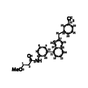 COCCC(=O)Nc1cccc(-c2cccc3cc(Cc4cccc(C(F)(F)F)c4)sc23)c1